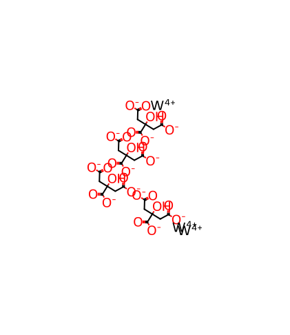 O=C([O-])CC(O)(CC(=O)[O-])C(=O)[O-].O=C([O-])CC(O)(CC(=O)[O-])C(=O)[O-].O=C([O-])CC(O)(CC(=O)[O-])C(=O)[O-].O=C([O-])CC(O)(CC(=O)[O-])C(=O)[O-].[W+4].[W+4].[W+4]